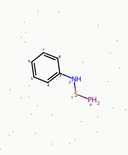 PSNc1ccccc1